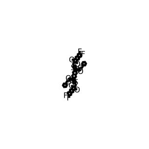 O=C1C(=Cc2cc3c(s2)c2c(n3C(=O)OCc3ccccc3)=CC3C=c4c(n(C(=O)OCc5ccccc5)c5cc(C=C6C(=O)c7cc8cc(F)c(F)cc8cc7C6=O)sc45)=CC3C=2)C(=O)c2cc3cc(F)c(F)cc3cc21